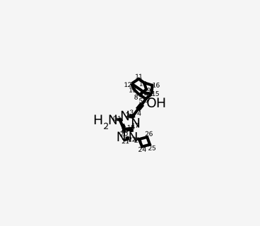 Nc1nc(C#CC2(O)C3CC4CC(C3)CC2C4)nc2c1ncn2C1CCC1